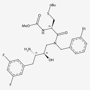 CCCCSC[C@H](NC(=O)OC)C(=O)N(Cc1cccc(CC)c1)C[C@@H](O)[C@@H](N)Cc1cc(F)cc(F)c1